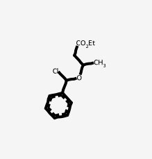 CCOC(=O)CC(C)OC(Cl)c1ccccc1